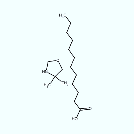 CC1(C)COCN1.CCCCCCCCCCCC(=O)O